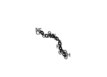 N#Cc1ccc(O[C@H]2CC[C@H](N3Cc4cc(N5CCC(CN6CCN(c7cc8c(cc7F)C(=O)N(C7CCC(=O)NC7=O)C8)CC6)CC5)ncc4C3=O)CC2)cc1Cl